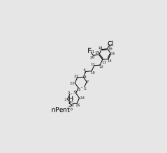 CCCCC[Si@H]1CC[C@H]([C@H]2CC[C@H](CCCCc3ccc(Cl)cc3CF)CC2)CC1